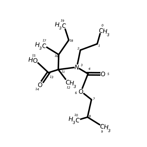 CCCN(C(=O)OCC(C)C)C(C)(C(=O)O)C(C)CC